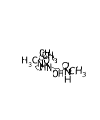 CCC(C)(CC)N1CCCC1C(=O)NCC(O)CCC(=O)NC